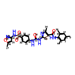 Cc1cc(C)c(NC(=O)c2sc(NC(=O)Nc3ccc(S(=O)(=O)Nc4cc(C)on4)cc3)nc2C)c(C)c1